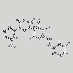 CCCCc1ncc(C)c(-c2cc(-n3c(C)cc(OCc4cccc(C)n4)c(C)c3=O)c(C)cn2)n1